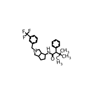 CC(C)(C)C(C(=O)NC1CCC2CN(Cc3cccc(C(F)(F)F)c3)CC21)c1ccccc1